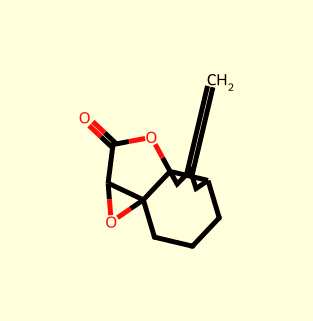 C=C1CC2CCCC34OC3C(=O)OC24C1